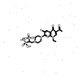 CCn1cc(C(C)=O)c(=O)c2cc(F)c(N3CCN(CC(P(=O)(O)O)P(=O)(O)O)CC3)nc21